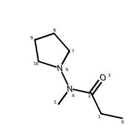 CCC(=O)N(C)N1[CH]CCC1